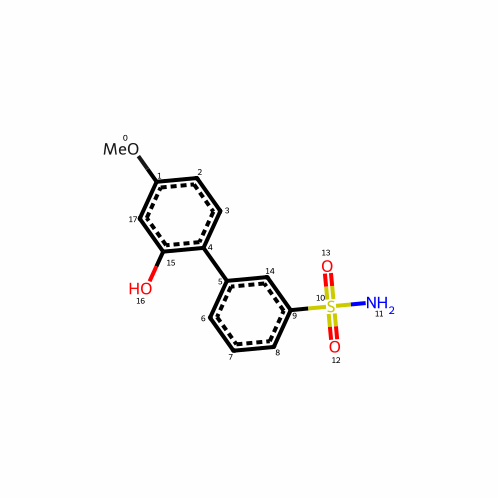 COc1ccc(-c2cccc(S(N)(=O)=O)c2)c(O)c1